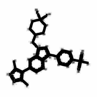 Cc1noc(C)c1-c1cnc2c(-c3ccc(S(C)(=O)=O)cc3)cn(CC3CCC(F)(F)CC3)c2c1